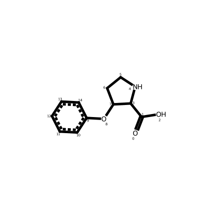 O=C(O)C1NCCC1Oc1ccccc1